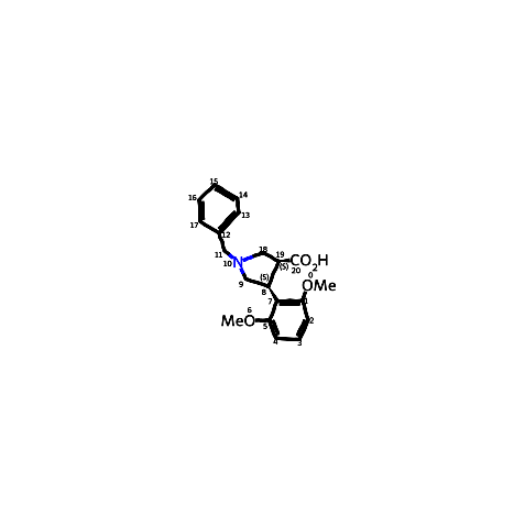 COc1cccc(OC)c1[C@H]1CN(Cc2ccccc2)C[C@H]1C(=O)O